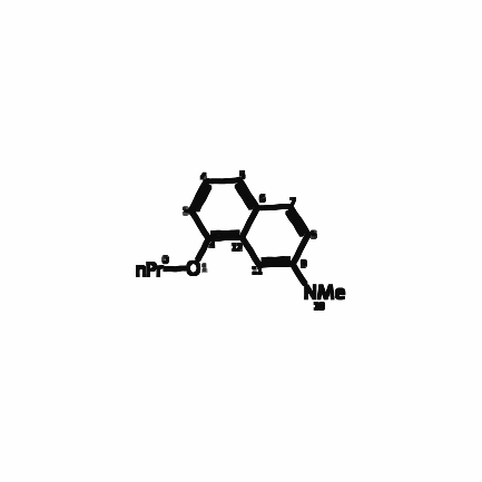 CCCOc1cccc2ccc(NC)cc12